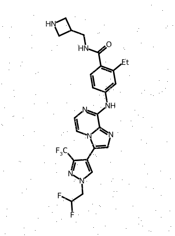 CCc1cc(Nc2nccn3c(-c4cn(CC(F)F)nc4C(F)(F)F)cnc23)ccc1C(=O)NCC1CNC1